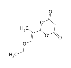 CCOC=C(C)C1OC(=O)CC(=O)O1